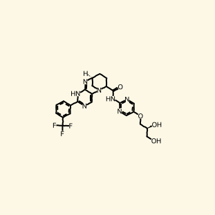 O=C(Nc1ncc(OC[C@@H](O)CO)cn1)C1CC[C@H]2CN1C1=CN=C(c3cccc(C(F)(F)F)c3)NC1=N2